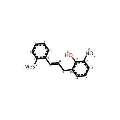 CSc1ccccc1/C=C/Cc1cccc([N+](=O)[O-])c1O